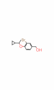 CC(Oc1ccc(CO)cc1Br)C1CC1